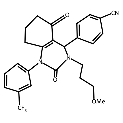 COCCCN1C(=O)N(c2cccc(C(F)(F)F)c2)C2=C(C(=O)CCC2)C1c1ccc(C#N)cc1